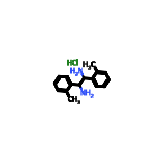 Cc1ccccc1[C@H](N)[C@@H](N)c1ccccc1C.Cl